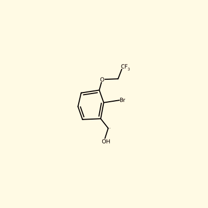 O[CH]c1cccc(OCC(F)(F)F)c1Br